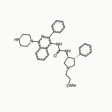 COCCN1C[C@@H](NC(=O)Nc2c(-c3ccccc3)nc(N3CCNCC3)c3ccccc23)[C@H](c2ccccc2)C1